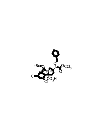 CC(C)(C)OC(=O)N1C[C@H](N(OCc2ccccc2)C(=O)OC(Cl)(Cl)Cl)CC[C@@]1(C(=O)O)c1c(Cl)cc(Cl)cc1Cl